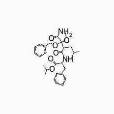 CO[C@@](OCc1ccccc1)(C(N)=O)C(CC(C)C)C(=O)N[C@@H](Cc1ccccc1)C(=O)OC(C)C